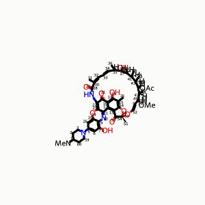 CNC1CCN(c2cc(O)c3nc4c5c6c7c(C)c(O)c5c(=O)c(c-4oc3c2)NC(=O)/C(C)=C\C=C\[C@H](C)[C@H](O)[C@@H](C)[C@@H](C)[C@@H](C)[C@H](OC(C)=O)[C@H](C)[C@@H](OC)/C=C/O[C@@](C)(O7)C6=O)CC1